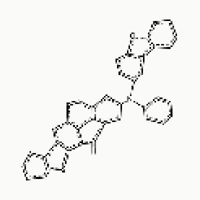 c1ccc(N(c2cc3ccc4cc5c6ccccc6sc5c5[nH]c(c2)c3c45)c2ccc3oc4ccccc4c3c2)cc1